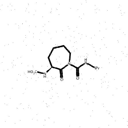 CC(C)NC(=O)N1CCCC[C@H](NC(=O)O)C1=O